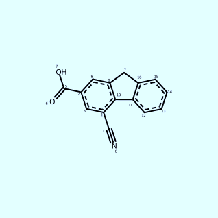 N#Cc1cc(C(=O)O)cc2c1-c1ccccc1C2